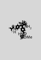 C=C(C)C(=O)Nc1ccc(-c2c(-c3ccc(C(=O)NC4(COC)CCC4)cc3)c3c(N)ncnc3n2C)cc1